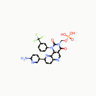 Nc1ccc(-c2ccc3ncc4c(=O)n(COP(=O)(O)O)c(=O)n(-c5cccc(C(F)(F)F)c5)c4c3n2)cn1